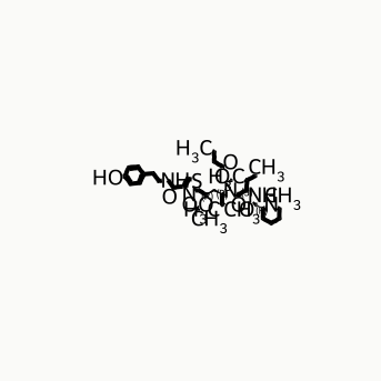 CCCC(=O)OCN(C(=O)[C@@H](NC(=O)[C@H]1CCCCN1C)C(C)CC)[C@H](C[C@@H](OC(C)=O)c1nc(C(=O)NCCc2ccc(O)cc2)cs1)C(C)C